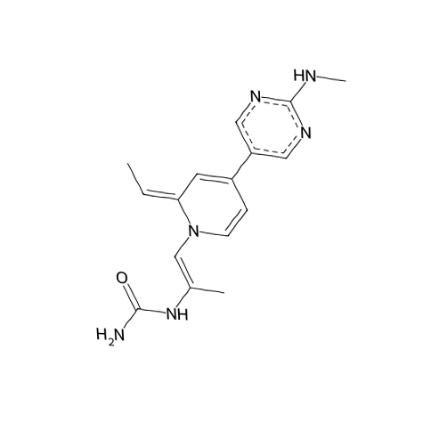 CC=C1C=C(c2cnc(NC)nc2)C=CN1/C=C(\C)NC(N)=O